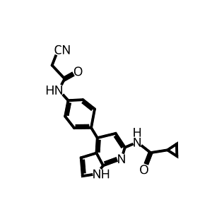 N#CCC(=O)Nc1ccc(-c2cc(NC(=O)C3CC3)nc3[nH]ccc23)cc1